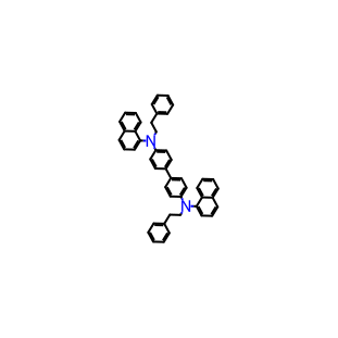 c1ccc(CCN(c2ccc(-c3ccc(N(CCc4ccccc4)c4cccc5ccccc45)cc3)cc2)c2cccc3ccccc23)cc1